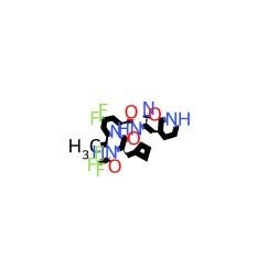 CC[C@H]1CC(F)(F)C[C@@H](C(=O)N[C@H](C#N)C[C@@H]2CCCNC2=O)N1C(=O)[C@H](CC1CCC1)NC(=O)C(F)(F)F